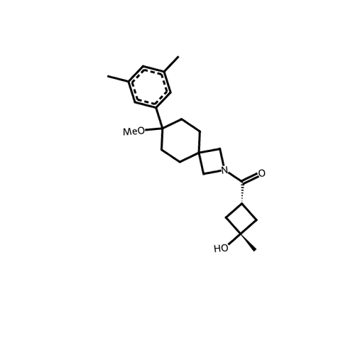 COC1(c2cc(C)cc(C)c2)CCC2(CC1)CN(C(=O)[C@H]1C[C@@](C)(O)C1)C2